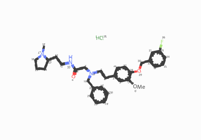 COc1cc(CCN(CC(=O)NCCC2CCCN2C)Cc2ccccc2)ccc1OCc1cccc(F)c1.Cl